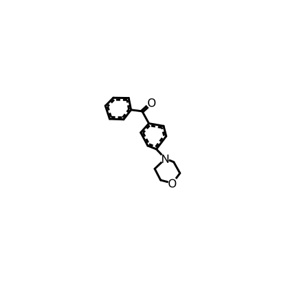 O=C(c1ccccc1)c1ccc(N2CCOCC2)cc1